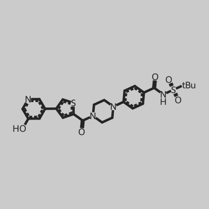 CC(C)(C)S(=O)(=O)NC(=O)c1ccc(N2CCN(C(=O)c3cc(-c4cncc(O)c4)cs3)CC2)cc1